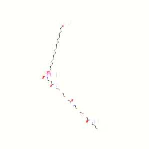 CCCCNC(=O)COCCOCCNC(=O)COCCOCCNC(=O)CCC(NC(=O)CCCCCCCCCCCCCCCCC(=O)O)C(=O)O